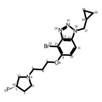 F[C@H]1CCN(CCCOc2ccc3c(nnn3CC3CC3)c2Br)C1